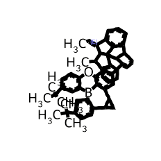 C/C=C1/c2cccc3c2C2(C4=C(C=CCC4)C(C)C12)C1C(c2cc4c5c(c2)C2CC2c2ccc(C(C)(C)C)cc2B5c2cc(C(C)(C)C)ccc2O4)=CC=CC31